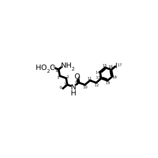 CC(CCC(N)C(=O)O)NC(=O)CCCc1ccc(I)cc1